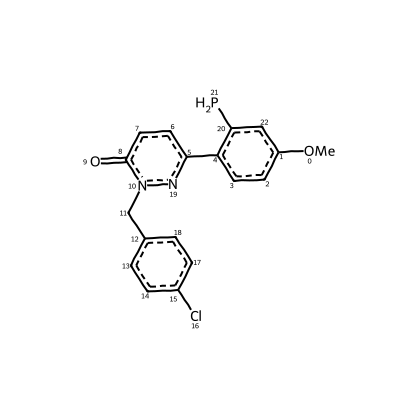 COc1ccc(-c2ccc(=O)n(Cc3ccc(Cl)cc3)n2)c(P)c1